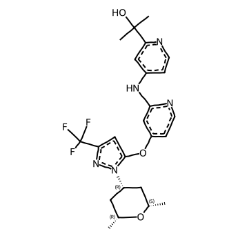 C[C@@H]1C[C@H](n2nc(C(F)(F)F)cc2Oc2ccnc(Nc3ccnc(C(C)(C)O)c3)c2)C[C@H](C)O1